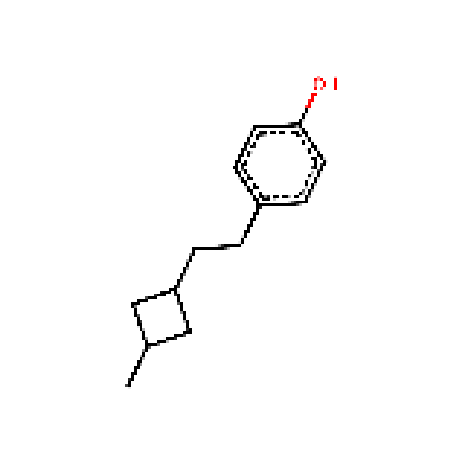 CC1CC(CCc2ccc(O)cc2)C1